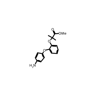 COC(=O)C(C)(C)Oc1ccccc1Oc1ccc(N)cc1